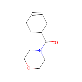 O=C(C1CC#CCC1)N1CCOCC1